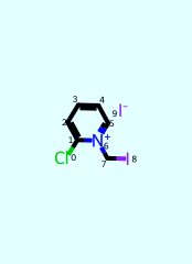 Clc1cccc[n+]1CI.[I-]